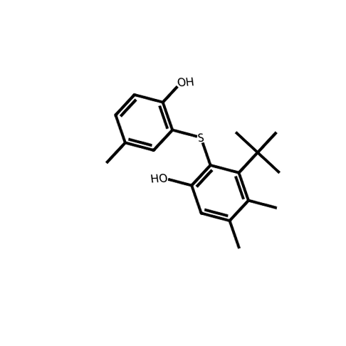 Cc1ccc(O)c(Sc2c(O)cc(C)c(C)c2C(C)(C)C)c1